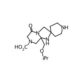 CC(C)OCC12CN(C(=O)O)CC(=O)N1CC1(CCNCC1)N2